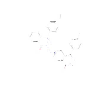 Nn1nc(-c2ccc(Cl)cc2)c2ccccc2c1=O.O=c1[nH]nc(-c2ccc(Cl)cc2)c2ccccc12